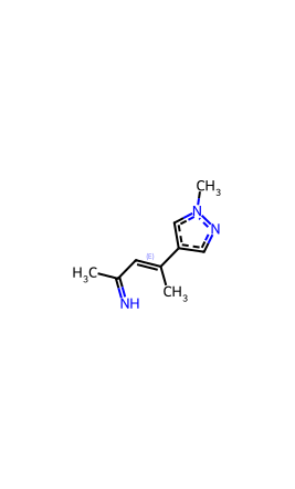 CC(=N)/C=C(\C)c1cnn(C)c1